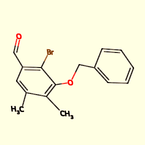 Cc1cc(C=O)c(Br)c(OCc2ccccc2)c1C